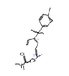 C=C/C(=C\C=C(/C)OC(=O)OC)C(C)(C)c1ccc(C)cc1